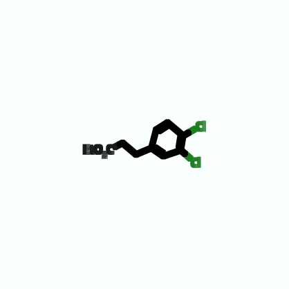 CCOC(=O)CCc1ccc(Cl)c(Cl)c1